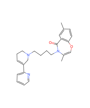 CC1=COc2ccc(C)cc2C(=O)N1CCCCN1CCC=C(c2ccccn2)C1